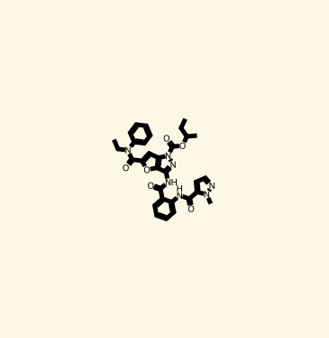 CCC(C)OC(=O)n1nc(NC(=O)c2ccccc2NC(=O)c2ccnn2C)c2oc(C(=O)N(CC)c3ccccc3)cc21